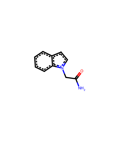 NC(=O)Cn1c[c]c2ccccc21